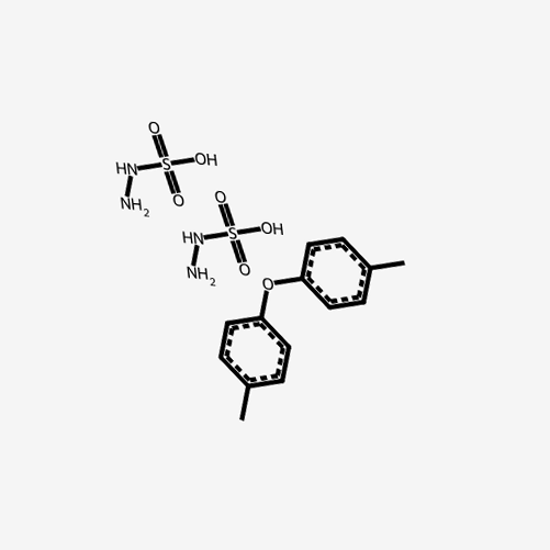 Cc1ccc(Oc2ccc(C)cc2)cc1.NNS(=O)(=O)O.NNS(=O)(=O)O